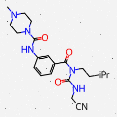 CC(C)CCN(C(=O)NCC#N)C(=O)c1cccc(NC(=O)N2CCN(C)CC2)c1